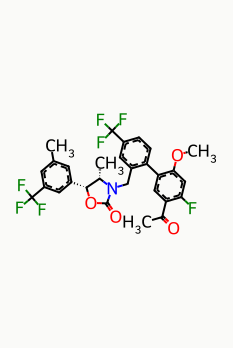 COc1cc(F)c(C(C)=O)cc1-c1ccc(C(F)(F)F)cc1CN1C(=O)O[C@H](c2cc(C)cc(C(F)(F)F)c2)[C@@H]1C